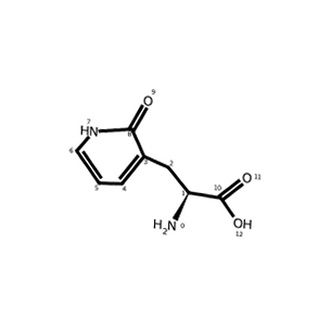 N[C@@H](Cc1ccc[nH]c1=O)C(=O)O